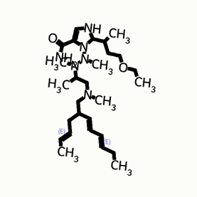 C/C=C/CC(C=C/C=C/CC)CN(C)CC(C)N(C)N(C)N1C(C(N)=O)=CNC1C(C)CCOCC